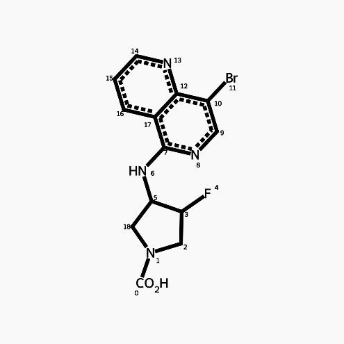 O=C(O)N1CC(F)C(Nc2ncc(Br)c3ncccc23)C1